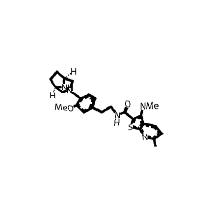 CNc1c(C(=O)NCCc2ccc(N3C[C@H]4CC[C@@H](C3)N4)c(OC)c2)sc2nc(C)ccc12